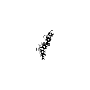 CCn1cc2ncc(N[C@@H](C)c3cccc(NC(=O)c4ccc(N5CCN(C)CC5)c(Cl)c4)c3)nc2n1